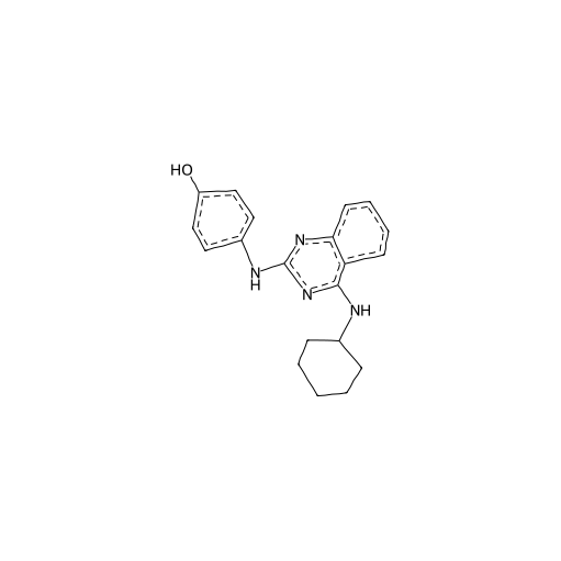 Oc1ccc(Nc2nc(NC3CCCCC3)c3ccccc3n2)cc1